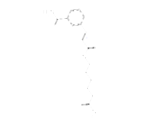 NC(=O)c1cccc(/C=C/C(=O)NCCCCCC(=O)NO)c1